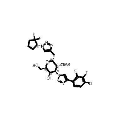 CO[C@@H]1[C@@H](n2cc(-c3ccc(Cl)c(F)c3F)nn2)[C@@H](O)[C@@H](CO)O[C@@H]1Cc1cn([C@@H]2CCCC2(F)F)nn1